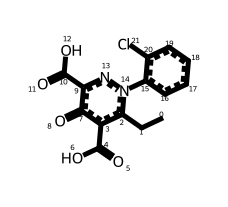 CCc1c(C(=O)O)c(=O)c(C(=O)O)nn1-c1ccccc1Cl